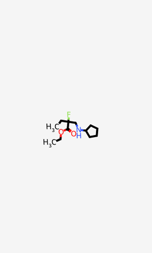 CCOC(=O)C(F)(CC)CNC1CCCC1